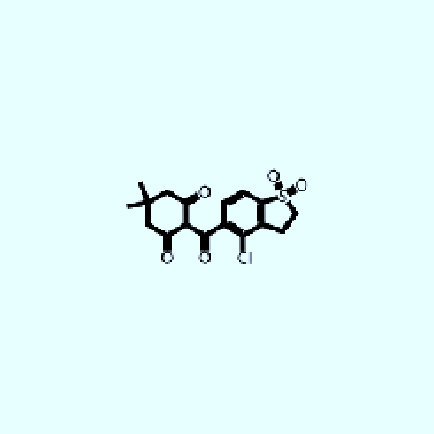 CC1(C)CC(=O)C(C(=O)c2ccc3c(c2Cl)CCS3(=O)=O)C(=O)C1